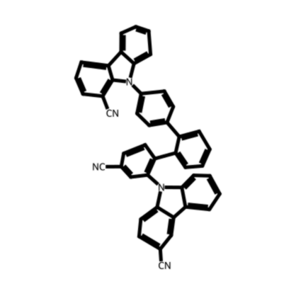 N#Cc1ccc(-c2ccccc2-c2ccc(-n3c4ccccc4c4cccc(C#N)c43)cc2)c(-n2c3ccccc3c3cc(C#N)ccc32)c1